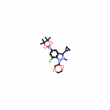 CN1C(C2CC2)c2cc(B3OC(C)(C)C(C)(C)O3)cc(F)c2N1C1COCCO1